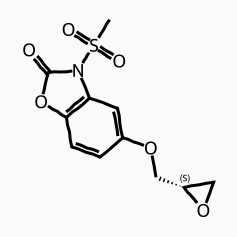 CS(=O)(=O)n1c(=O)oc2ccc(OC[C@@H]3CO3)cc21